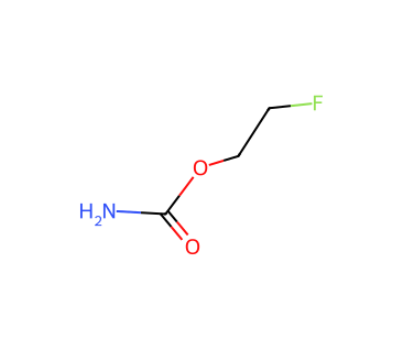 NC(=O)OCCF